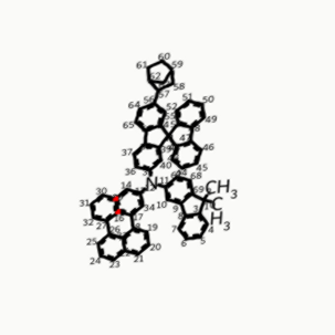 CC1(C)c2ccccc2-c2cc(N(c3cccc(-c4cccc5cccc(-c6ccccc6)c45)c3)c3ccc4c(c3)C3(c5ccccc5-c5ccccc53)c3cc(C5CC6CCC5C6)ccc3-4)ccc21